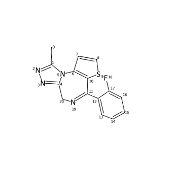 Cc1nnc2n1-c1ccsc1C(c1ccccc1F)=NC2